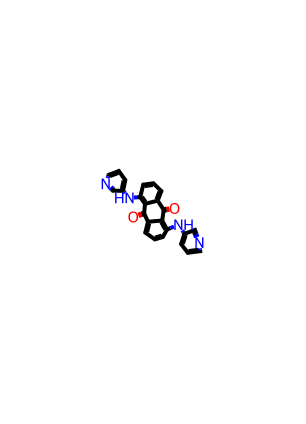 O=C1c2cccc(Nc3cccnc3)c2C(=O)c2cccc(Nc3cccnc3)c21